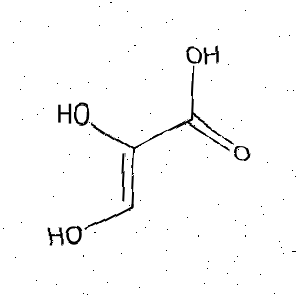 O=C(O)C(O)=CO